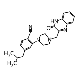 CC(C)Cc1ccc(C#N)c(N2CCN(Cc3nc4ccccc4[nH]c3=O)CC2)c1